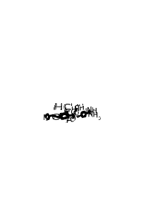 CCO[C@H](C(=O)NCc1ccc(C(=N)N)cc1)c1c(F)cc(OCc2ccncc2)cc1F.Cl